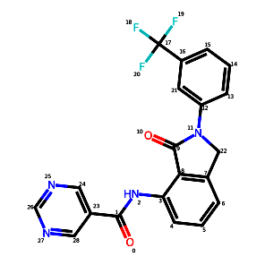 O=C(Nc1cccc2c1C(=O)N(c1cccc(C(F)(F)F)c1)C2)c1cncnc1